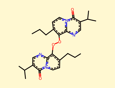 CCCc1ccn2c(=O)c(C(C)C)cnc2c1OOc1c(CCC)ccn2c(=O)c(C(C)C)cnc12